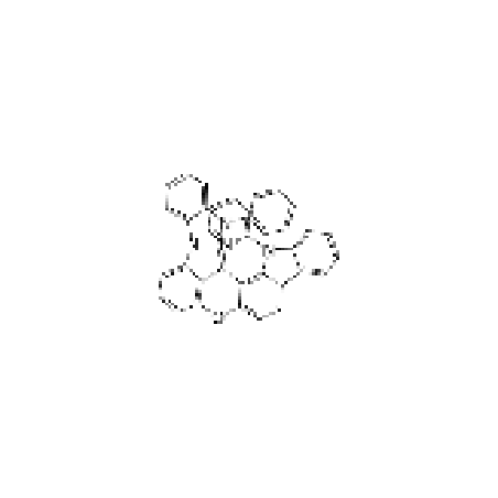 c1ccc(N2c3ccccc3N3c4cccc5c4C4(c6c(ccc7c8ccccc8n(c67)-c6cccc[n+]64)O5)C23)cc1